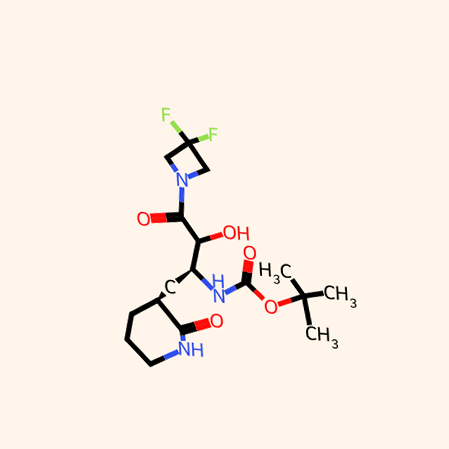 CC(C)(C)OC(=O)N[C@@H](C[C@@H]1CCCNC1=O)C(O)C(=O)N1CC(F)(F)C1